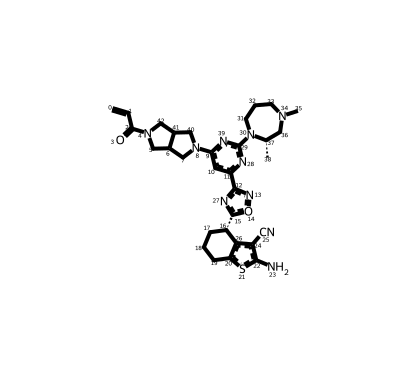 C=CC(=O)N1CC2CN(c3cc(-c4noc([C@H]5CCCc6sc(N)c(C#N)c65)n4)nc(N4CCCN(C)C[C@@H]4C)n3)CC2C1